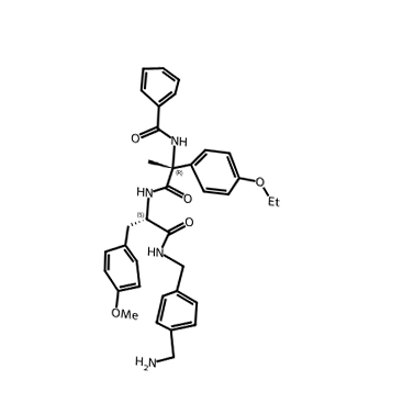 CCOc1ccc([C@@](C)(NC(=O)c2ccccc2)C(=O)N[C@@H](Cc2ccc(OC)cc2)C(=O)NCc2ccc(CN)cc2)cc1